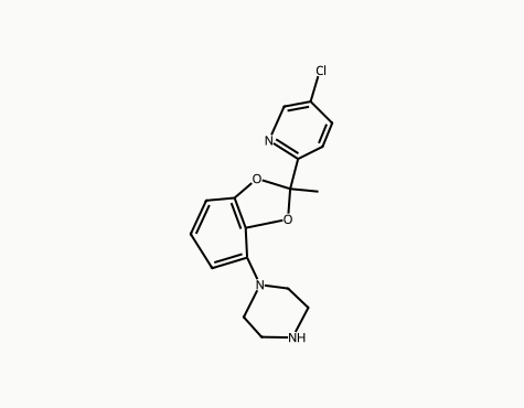 CC1(c2ccc(Cl)cn2)Oc2cccc(N3CCNCC3)c2O1